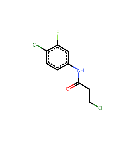 O=C(CCCl)Nc1ccc(Cl)c(F)c1